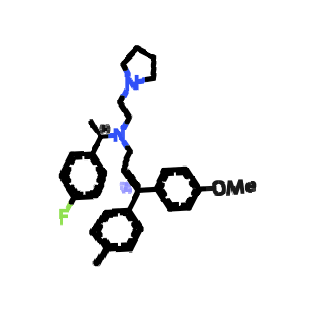 COc1ccc(/C(=C\CN(CCN2CCCC2)[C@H](C)c2ccc(F)cc2)c2ccc(C)cc2)cc1